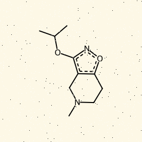 CC(C)Oc1noc2c1CN(C)CC2